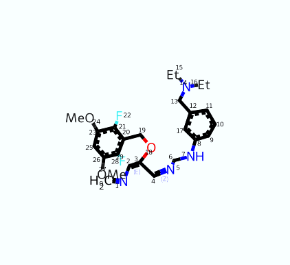 C=N/C=C(\C=N/CNc1cccc(CN(CC)CC)c1)OCc1c(F)c(OC)cc(OC)c1F